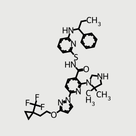 CCC(Nc1cccc(SNC(=O)c2ccc(-n3ccc(OCCC4(C(F)(F)F)CC4)n3)nc2N2CNCC2(C)C)n1)c1ccccc1